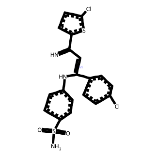 N=C(/C=C(\Nc1ccc(S(N)(=O)=O)cc1)c1ccc(Cl)cc1)c1ccc(Cl)s1